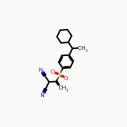 C=C(C(C#N)C#N)S(=O)(=O)c1ccc(C(C)C2CCCCC2)cc1